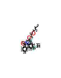 CCCCOCCOCCN(C(=O)c1ccccc1)c1ccc(F)[c]c1F.[Ti]